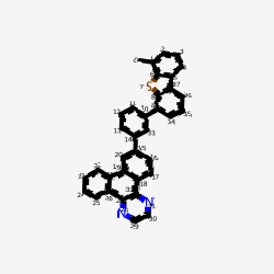 Cc1cccc2c1sc1c(-c3cccc(-c4ccc5c(c4)c4ccccc4c4nccnc54)c3)cccc12